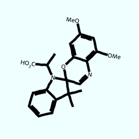 COc1cc(OC)c2c(c1)OC1(C=N2)N(C(C)C(=O)O)c2ccccc2C1(C)C